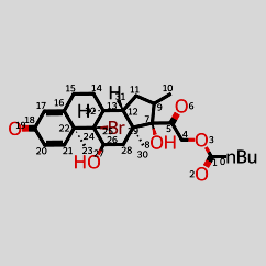 CCCCC(=O)OCC(=O)[C@@]1(O)C(C)C[C@H]2[C@@H]3CCC4=CC(=O)C=C[C@]4(C)[C@@]3(Br)C(O)C[C@@]21C